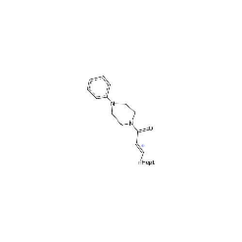 CCCCCCC/C=C/C(=O)N1CCN(c2ccccc2)CC1